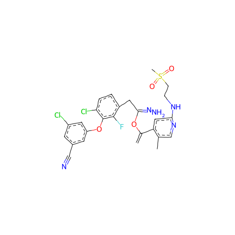 C=C(O/C(Cc1ccc(Cl)c(Oc2cc(Cl)cc(C#N)c2)c1F)=N\N)c1cc(NCCS(C)(=O)=O)ncc1C